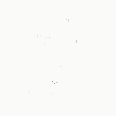 COc1ccc2ncc(CO)c([C@H](F)CCC3(CC(=O)O)CCN(CCNc4c(F)cc(F)cc4F)CC3)c2c1